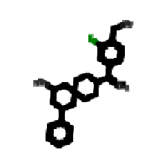 C=C(c1ccc(CC(C)C)c(F)c1)C1CCC2(CC1)CC(CCC)CC(c1ccccc1)C2